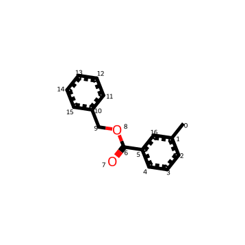 Cc1cccc(C(=O)OCc2ccccc2)c1